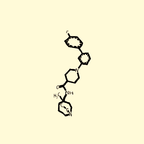 CC1(NC(=O)C2CCN(c3cccc(-c4ccc(F)cc4)c3)CC2)CCN2CCC1CC2